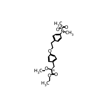 CCOC(=O)[C@H](Cc1ccc(OCCc2ccc(N(C)S(C)(=O)=O)cc2)cc1)OCC